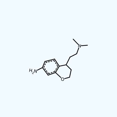 CN(C)CCC1CCOc2cc(N)ccc21